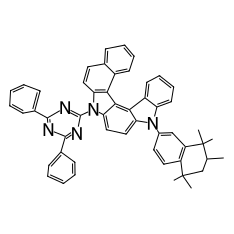 CC1CC(C)(C)c2ccc(-n3c4ccccc4c4c5c6c7ccccc7ccc6n(-c6nc(-c7ccccc7)nc(-c7ccccc7)n6)c5ccc43)cc2C1(C)C